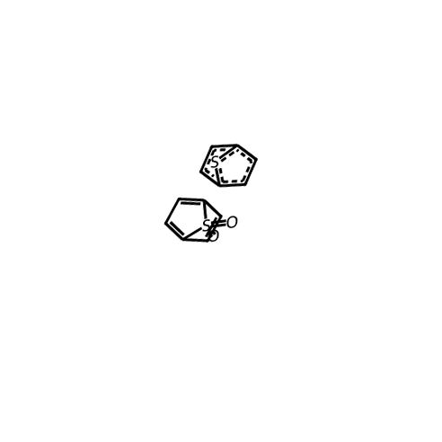 O=S1(=O)C2=CC=C1C=C2.c1cc2ccc1s2